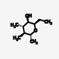 CC[C@H]1O[C@H](C)[C@@H](C)[C@H](C)[C@H]1O